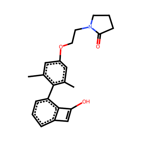 Cc1cc(OCCN2CCCC2=O)cc(C)c1-c1cccc2c1C(O)=C2